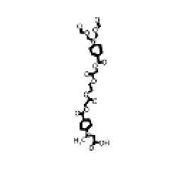 CN(CC(=O)O)c1ccc(C(=O)OCC(=O)OCCOC(=O)COC(=O)c2ccc(N(COC=O)COC=O)cc2)cc1